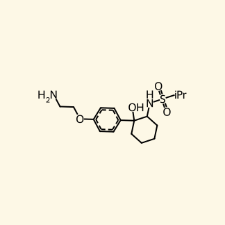 CC(C)S(=O)(=O)NC1CCCCC1(O)c1ccc(OCCN)cc1